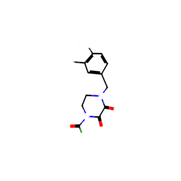 CC(=O)Oc1ccc(CN2CCN(C(=O)Cl)C(=O)C2=O)cc1OC(C)=O